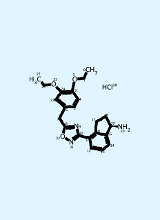 CCOc1ccc(Cc2nc(-c3cccc4c3CC[C@H]4N)no2)cc1OCC.Cl